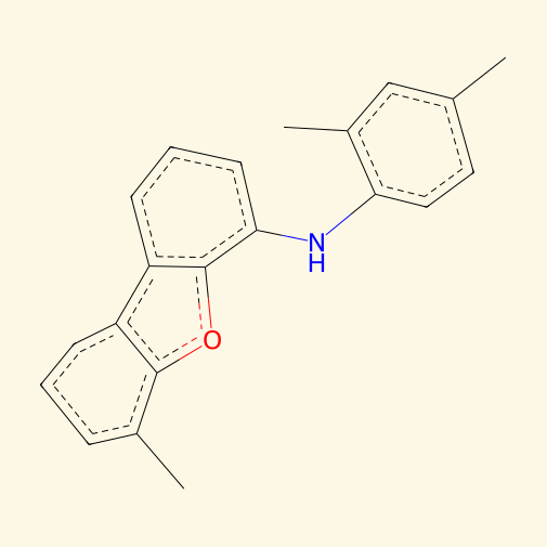 Cc1ccc(Nc2cccc3c2oc2c(C)cccc23)c(C)c1